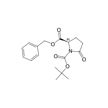 CC(C)(C)OC(=O)N1C(=O)CC[C@@H]1C(=O)OCc1ccccc1